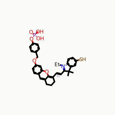 CC[N+]1=C(/C=C/C2=C3Oc4cc(OCc5ccc(OP(=O)(O)O)cc5)ccc4C=C3CCC2)C(C)(C)c2cc(S)ccc21